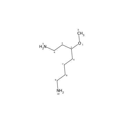 COC(CCN)CCCCN